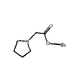 CC(C)(C)OC(=O)CN1C[CH]CC1